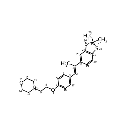 CC(=Cc1ccc(OCCN2CCOCC2)cc1)c1ccc2c(c1)SC(C)(C)S2